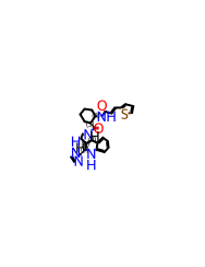 O=C(C=Cc1cccs1)N[C@@H]1CCCC[C@@H]1C(=O)N1CC[C@@H]2[C@H](c3ncc[nH]3)Nc3ccccc3[C@@H]21